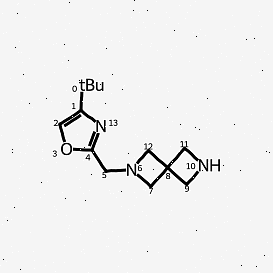 CC(C)(C)c1coc(CN2CC3(CNC3)C2)n1